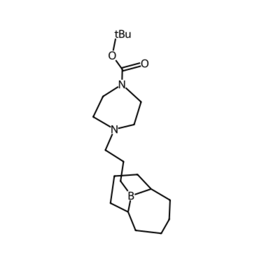 CC(C)(C)OC(=O)N1CCN(CCCB2C3CCCCC2CCC3)CC1